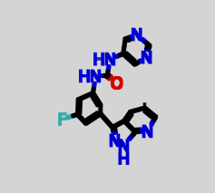 O=C(Nc1cncnc1)Nc1cc(F)cc(-c2n[nH]c3nc[c]cc23)c1